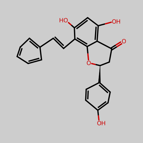 O=C1C[C@@H](c2ccc(O)cc2)Oc2c(/C=C/c3ccccc3)c(O)cc(O)c21